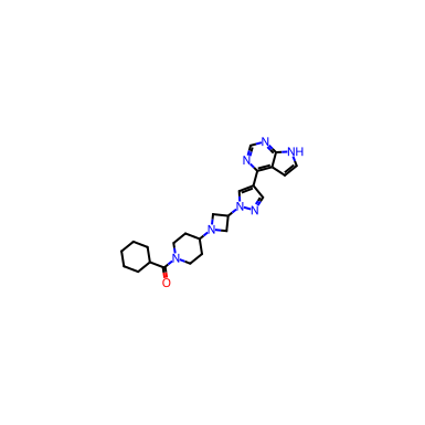 O=C(C1CCCCC1)N1CCC(N2CC(n3cc(-c4ncnc5[nH]ccc45)cn3)C2)CC1